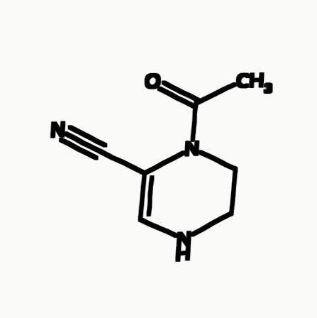 CC(=O)N1CCNC=C1C#N